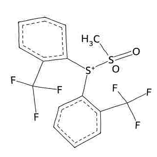 CS(=O)(=O)[S+](c1ccccc1C(F)(F)F)c1ccccc1C(F)(F)F